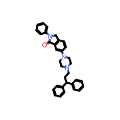 O=C1c2cc(N3CCN(CCC(c4ccccc4)c4ccccc4)CC3)ccc2CN1c1ccccc1